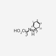 CC(=NNC1(C)C=CC=CC1)C(=O)O